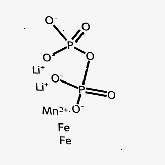 O=P([O-])([O-])OP(=O)([O-])[O-].[Fe].[Fe].[Li+].[Li+].[Mn+2]